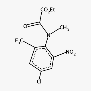 CCOC(=O)C(=O)N(C)c1c([N+](=O)[O-])cc(Cl)cc1C(F)(F)F